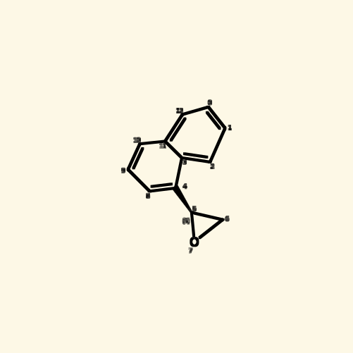 c1ccc2c([C@H]3CO3)cccc2c1